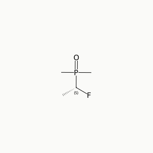 C[C@@H](F)P(C)(C)=O